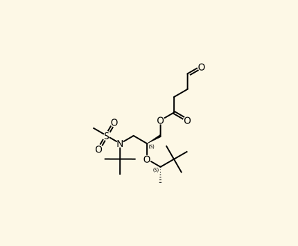 C[C@H](O[C@H](COC(=O)CCC=O)CN(C(C)(C)C)S(C)(=O)=O)C(C)(C)C